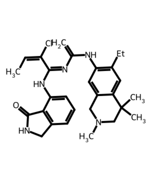 C=C(/N=C(Nc1cccc2c1C(=O)NC2)\C(Cl)=C/C)Nc1cc2c(cc1CC)C(C)(C)CN(C)C2